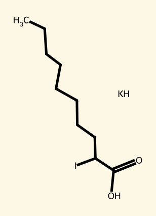 CCCCCCCCC(I)C(=O)O.[KH]